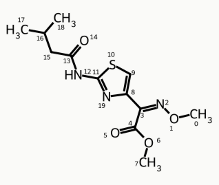 CON=C(C(=O)OC)c1csc(NC(=O)CC(C)C)n1